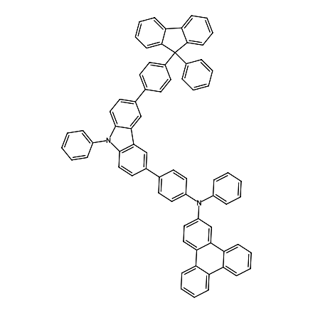 c1ccc(N(c2ccc(-c3ccc4c(c3)c3cc(-c5ccc(C6(c7ccccc7)c7ccccc7-c7ccccc76)cc5)ccc3n4-c3ccccc3)cc2)c2ccc3c4ccccc4c4ccccc4c3c2)cc1